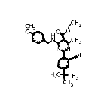 CCOC(=O)c1c(C)nc(-c2ccc(C(C)(C)C)cc2C#N)nc1NCc1ccc(OC)cc1